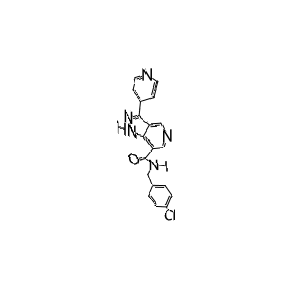 O=C(c1cncc2c(-c3ccncc3)n[nH]c12)N(I)Cc1ccc(Cl)cc1